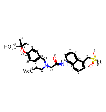 CCS(=O)(=O)Cc1cccc2c(NC(=O)CN(CCOC)Cc3ccc(OC(C)(C)C(=O)O)cc3)cccc12